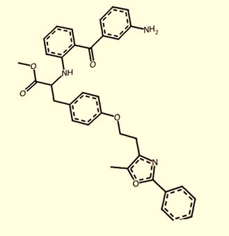 COC(=O)C(Cc1ccc(OCCc2nc(-c3ccccc3)oc2C)cc1)Nc1ccccc1C(=O)c1cccc(N)c1